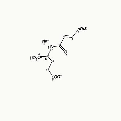 CCCCCCCCC=CC(=O)N[C@@H](CCC(=O)[O-])C(=O)O.[Na+]